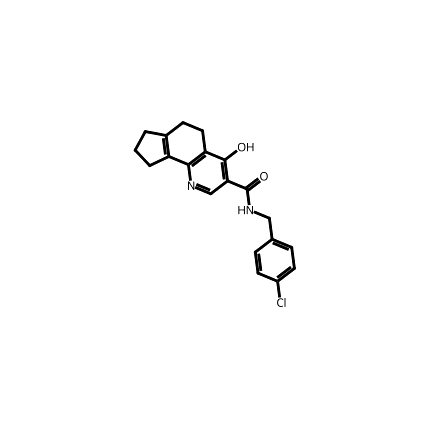 O=C(NCc1ccc(Cl)cc1)c1cnc2c(c1O)CCC1=C2CCC1